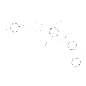 Cc1ccc(CCN2CCN(Cc3cc(OC=O)c(NC(=O)c4ccc(Oc5ccccc5)cc4)cc3C(C)C)CC2)cc1